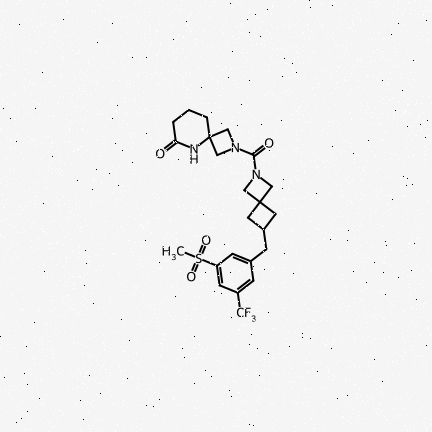 CS(=O)(=O)c1cc(CC2CC3(C2)CN(C(=O)N2CC4(CCCC(=O)N4)C2)C3)cc(C(F)(F)F)c1